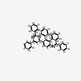 c1ccc(-c2cc(-c3ccc4nc(-c5ccccc5)c5cccc(-c6ccccc6)c5c4c3)nc(-c3ccccc3)n2)cc1